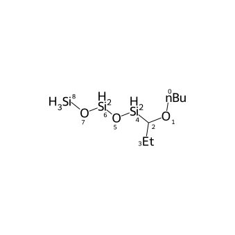 CCCCOC(CC)[SiH2]O[SiH2]O[SiH3]